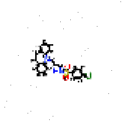 O=S(=O)(NCCCN1c2ccccc2CCc2ccccc21)c1ccc(Cl)cc1